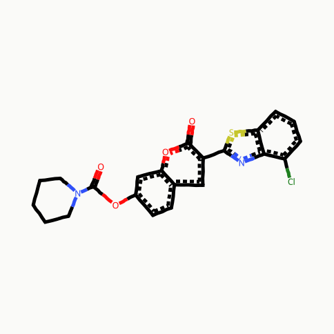 O=C(Oc1ccc2cc(-c3nc4c(Cl)cccc4s3)c(=O)oc2c1)N1CCCCC1